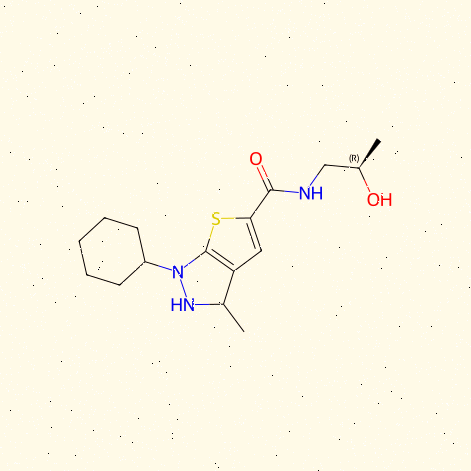 CC1NN(C2CCCCC2)c2sc(C(=O)NC[C@@H](C)O)cc21